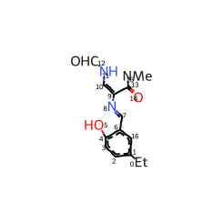 CCc1ccc(O)c(/C=N/C(=C/NC=O)C(=O)NC)c1